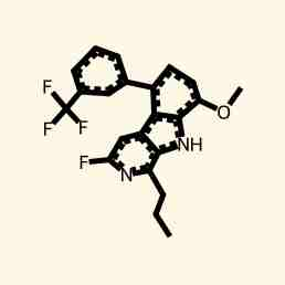 CCCc1nc(F)cc2c1[nH]c1c(OC)ccc(-c3cccc(C(F)(F)F)c3)c12